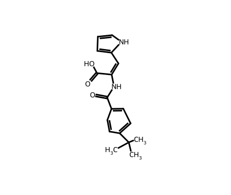 CC(C)(C)c1ccc(C(=O)N/C(=C/c2ccc[nH]2)C(=O)O)cc1